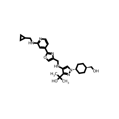 CC(C)(O)c1nn([C@H]2CC[C@H](CO)CC2)cc1NCc1coc(-c2ccnc(NCC3CC3)c2)n1